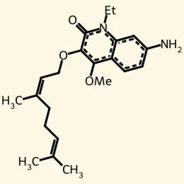 CCn1c(=O)c(OCC=C(C)CCC=C(C)C)c(OC)c2ccc(N)cc21